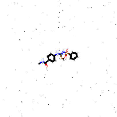 CNC(=O)c1ccc(N/C(=N/S(=O)(=O)c2ccccc2)SC)cc1